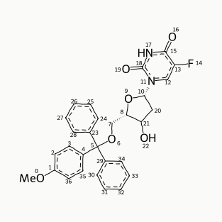 COc1ccc(C(OC[C@@H]2O[C@H](n3cc(F)c(=O)[nH]c3=O)CC2O)(c2ccccc2)c2ccccc2)cc1